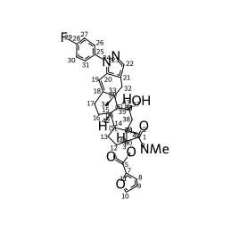 CNC(=O)[C@@]1(OC(=O)c2ccco2)CC[C@H]2[C@@H]3CCC4=Cc5c(cnn5-c5ccc(F)cc5)C[C@]4(C)[C@H]3[C@@H](O)C[C@@]21C